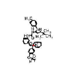 Cc1ccc(-n2nc(C(C)(C)C)cc2NC(=O)Nc2cccc(CC3CC4CCC(C3)N4C(=O)c3ccc4c(c3)OC(F)(F)O4)c2)cc1